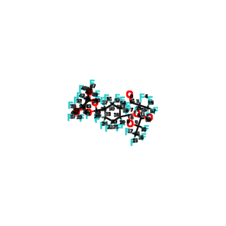 O=C(F)C(F)(OC(F)(OC(F)(C(=O)F)C(F)(F)F)C1(F)C(F)(F)C(F)(F)C(F)(C(F)(OC(F)(C(=O)F)C(F)(F)F)OC(F)(C(=O)F)C(F)(F)F)C(F)(F)C1(F)F)C(F)(F)F